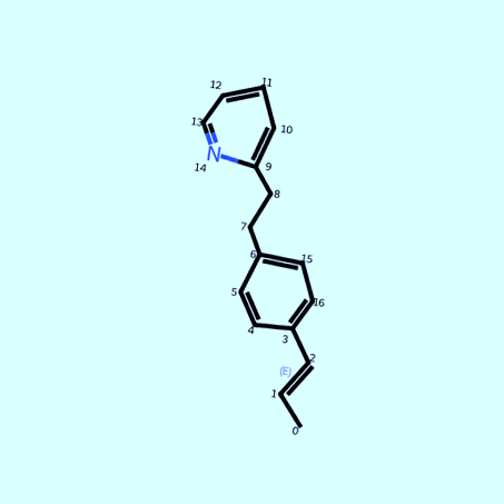 C/C=C/c1ccc(CCc2ccccn2)cc1